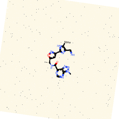 CNc1[nH]c(-c2cc([C@@H](C)NC(=O)c3ncnc4c3nnn4C)on2)nc1C=N